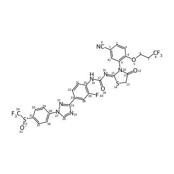 N#Cc1ccc(OCCC(F)(F)F)c(N2C(=O)CS/C2=N\C(=O)Nc2ccc(-c3ncn(-c4ccc([S+]([O-])C(F)(F)F)cc4)n3)cc2F)c1